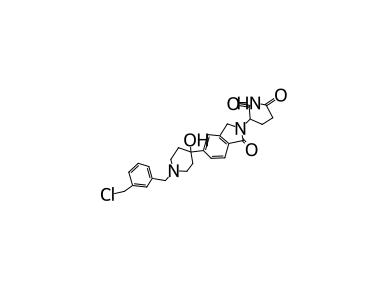 O=C1CCC(N2Cc3cc(C4(O)CCN(Cc5cccc(CCl)c5)CC4)ccc3C2=O)C(=O)N1